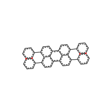 c1ccc(-c2ccc3c4ccc(-c5ccccc5)c5c(-c6ccccc6)ccc(c6ccc(-c7ccccc7)c2c36)c54)cc1